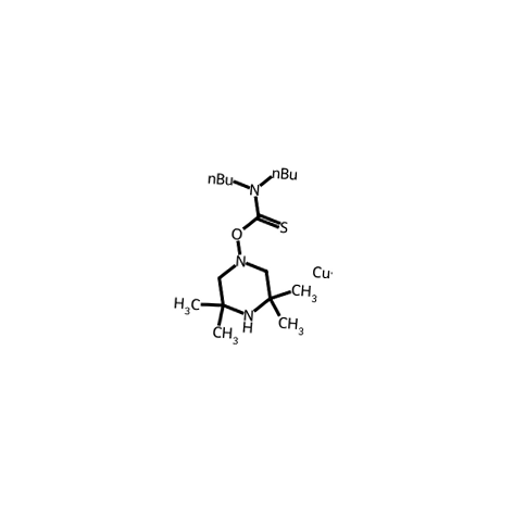 CCCCN(CCCC)C(=S)ON1CC(C)(C)NC(C)(C)C1.[Cu]